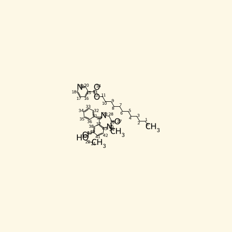 CCCCCCCCCCCCOC(=O)c1cccnc1.CCO.CN1C(=O)CN=C(c2ccccc2)c2cc(Cl)ccc21